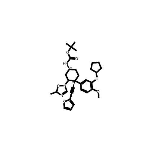 COc1ccc([C@@]2(C#Cc3cccs3)CC[C@H](NC(=O)OC(C)(C)C)CC2N2C=NC(C)O2)cc1OC1CCCC1